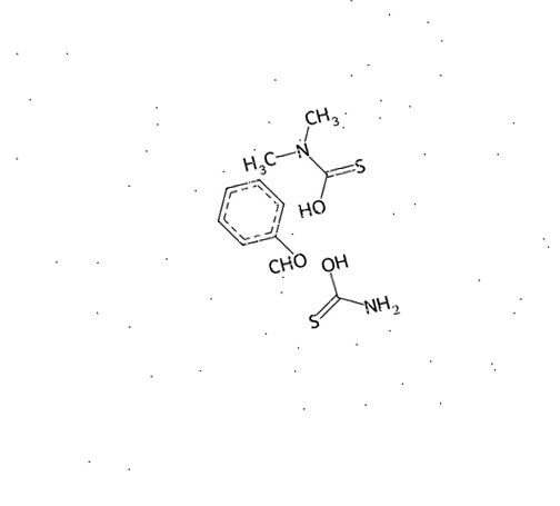 CN(C)C(O)=S.NC(O)=S.O=Cc1ccccc1